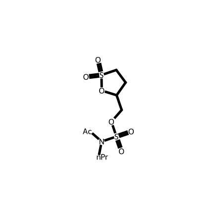 CCCN(C(C)=O)S(=O)(=O)OCC1CCS(=O)(=O)O1